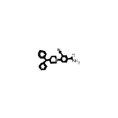 N#Cc1cc(C(N)=O)ccc1N1CCC(C(c2ccccc2)c2ccccc2)CC1